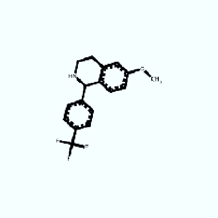 COc1ccc2c(c1)CCNC2c1ccc(C(F)(F)F)cc1